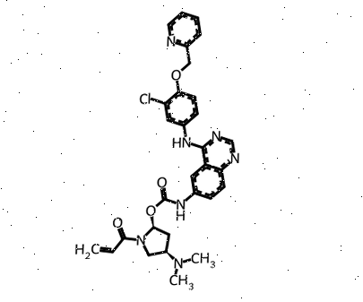 C=CC(=O)N1C[C@H](N(C)C)C[C@@H]1OC(=O)Nc1ccc2ncnc(Nc3ccc(OCc4ccccn4)c(Cl)c3)c2c1